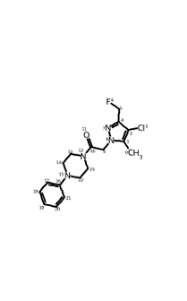 Cc1c(Cl)c(CF)nn1CC(=O)N1CCN(c2ccccc2)CC1